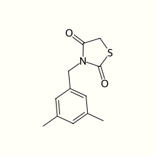 Cc1cc(C)cc(CN2C(=O)CSC2=O)c1